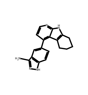 Nc1n[nH]c2ccc(-c3ccnc4[nH]c5c(c34)CCCC5)cc12